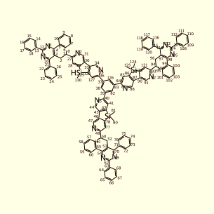 CC(Cc1c(-c2ccccc2)nc(-c2ccccc2)nc1-c1ccccc1)c1cc2c(cn1)-c1cnc(-c3cc(-c4cc5c(cn4)-c4cnc(C(C)Cc6c(-c7ccccc7)nc(-c7ccccc7)nc6-c6ccccc6)cc4[Si]5(C)C)cc(-c4cc5c(cn4)-c4cnc(C(C)Cc6c(-c7ccccc7)nc(-c7ccccc7)nc6-c6ccccc6)cc4[Si]5(C)C)c3)cc1[SiH]2C